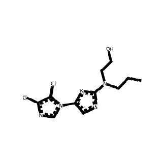 CCCN(CCO)c1nc(-n2cnc(Cl)c2Cl)cs1